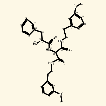 COc1cccc(CCNC(=O)C(NC(=O)[C@@H](S)Cc2ccccc2)C(=O)NCCc2cccc(OC)c2)c1